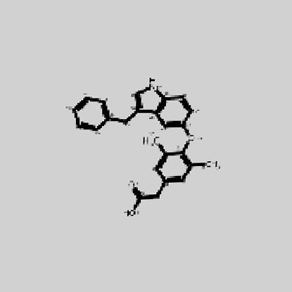 Cc1cc(CC(=O)O)cc(C)c1Oc1ccc2[nH]cc(Cc3ccccc3)c2c1